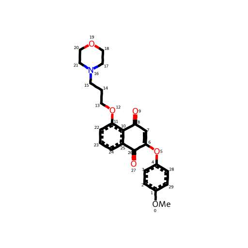 COc1ccc(OC2=CC(=O)c3c(OCCCN4CCOCC4)cccc3C2=O)cc1